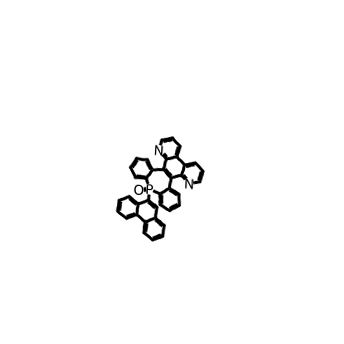 O=P1(c2cc3ccccc3c3ccccc23)c2ccccc2-c2c(c3ncccc3c3cccnc23)-c2ccccc21